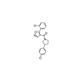 O=C(c1cnoc1-c1ccccc1Cl)N1CCC(c2ccc(Cl)cc2)C1